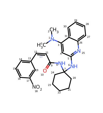 CN(C)c1cc(NC2(NC(=O)/C=C\c3cccc([N+](=O)[O-])c3)CCCCC2)nc2ccccc12